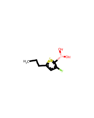 CCCc1cc(F)c(B(O)O)s1